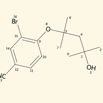 CC(C)(O)CC(C)(C)Oc1ccc(C#N)cc1Br